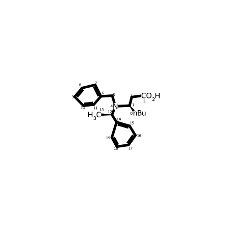 CCCC[C@H](CC(=O)O)N(Cc1ccccc1)[C@H](C)c1ccccc1